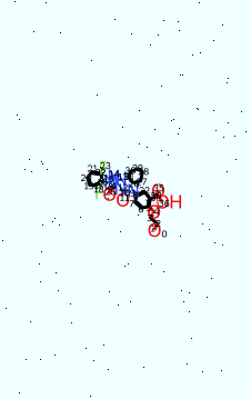 COCCOc1ccc(N(C(=O)n2nnn(-c3c(F)cccc3F)c2=O)C2CCCCC2)cc1C(=O)O